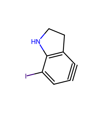 Ic1cc#cc2c1NCC2